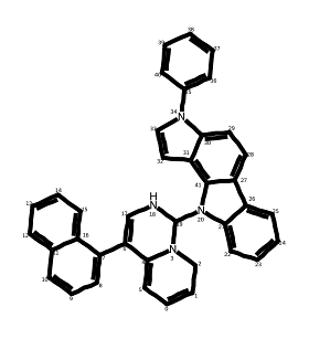 C1=CCN2C(=C1)C(c1cccc3ccccc13)=CNC2n1c2ccccc2c2ccc3c(ccn3-c3ccccc3)c21